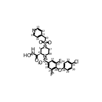 O=C(NO)[C@H]1CN(S(=O)(=O)Cc2ccncc2)CCN1[S+]([O-])c1cc(F)c(Oc2ccc(Cl)cc2)c(F)c1